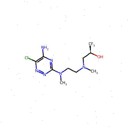 CN(CCN(C)c1nnc(Cl)c(N)n1)C[C@H](O)C(F)(F)F